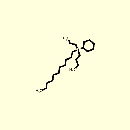 CCCCCCCCCCC[N+](CCC)(CCCC)C1CCCCC1